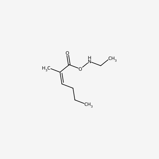 CCCC=C(C)C(=O)ONCC